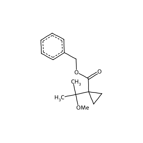 COC(C)(C)C1(C(=O)OCc2ccccc2)CC1